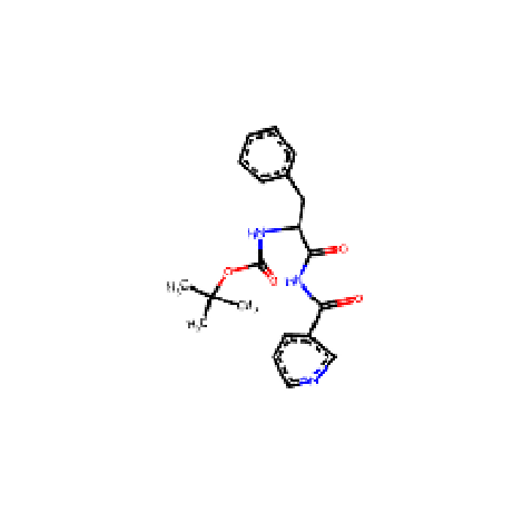 CC(C)(C)OC(=O)NC(Cc1ccccc1)C(=O)NC(=O)c1cccnc1